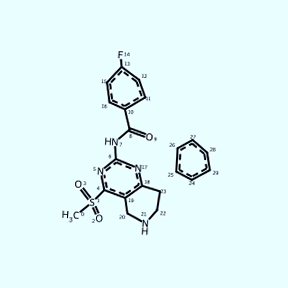 CS(=O)(=O)c1nc(NC(=O)c2ccc(F)cc2)nc2c1CNCC2.c1ccccc1